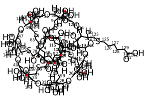 O=C(O)CCCCCSC[C@@H]1OC2O[C@@H]3[C@@H](O)[C@H](O)C(O[C@@H]4[C@@H](O)[C@H](O)C(O[C@@H]5[C@@H](O)[C@H](O)C(O[C@@H]6[C@@H](O)[C@H](O)C(O[C@@H]7[C@@H](O)[C@H](O)C(O[C@@H]8[C@@H](O)[C@H](O)C(O[C@@H]1[C@@H](O)[C@@H]2O)O[C@H]8CSCCCCCC(=O)O)O[C@H]7CSCCCCCC(=O)O)O[C@H]6CSCCCCCC(=O)O)O[C@H]5CSCCCCCC(=O)O)O[C@H]4CSCCCCCC(=O)O)O[C@H]3CSCCCCCC(=O)O